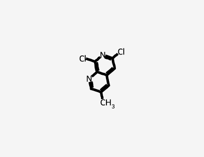 Cc1cnc2c(Cl)nc(Cl)cc2c1